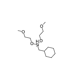 COCCO[SiH](CC1CCCCC1)OCCOC